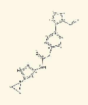 O=Cc1ccsc1-c1ccc(CC(=O)Nc2cc(C3CC3)[nH]n2)cc1